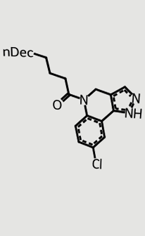 CCCCCCCCCCCCCC(=O)N1Cc2cn[nH]c2-c2cc(Cl)ccc21